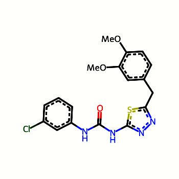 COc1ccc(Cc2nnc(NC(=O)Nc3cccc(Cl)c3)s2)cc1OC